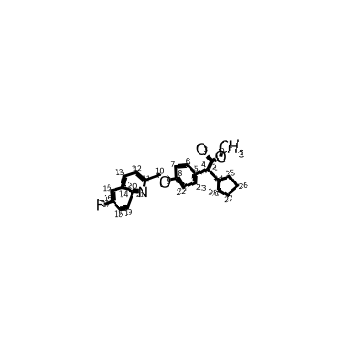 COC(=O)C(c1ccc(OCc2ccc3cc(F)ccc3n2)cc1)C1CCCC1